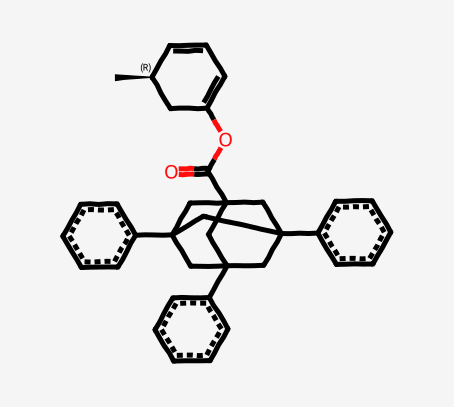 C[C@H]1C=CC=C(OC(=O)C23CC4(c5ccccc5)CC(c5ccccc5)(C2)CC(c2ccccc2)(C3)C4)C1